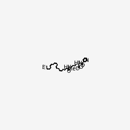 CC/C=C\C/C=C\C/C=C\C/C=C\C/C=C\CCCC(=O)NCCCC[C@H](NC(=O)c1cccnc1)C(=O)OC